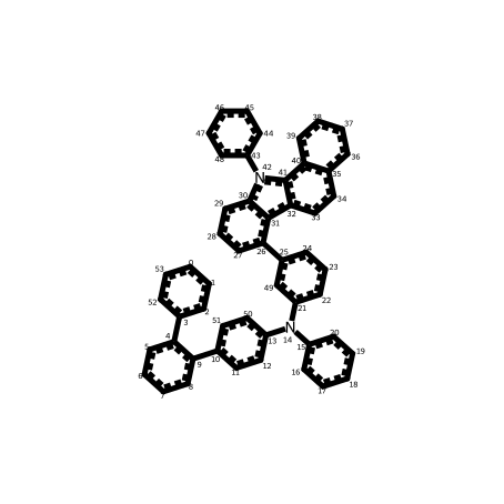 c1ccc(-c2ccccc2-c2ccc(N(c3ccccc3)c3cccc(-c4cccc5c4c4ccc6ccccc6c4n5-c4ccccc4)c3)cc2)cc1